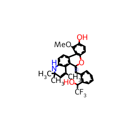 COc1c(O)ccc2c1-c1ccc3c(c1/C(=C/c1ccccc1C(O)C(F)(F)F)O2)C(C)=CC(C)(C)N3